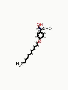 C=CCCCCCCCCCOc1ccc(/C(C=O)=C/O)cc1